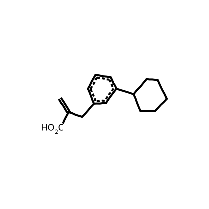 C=C(Cc1cccc(C2CCCCC2)c1)C(=O)O